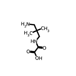 CC(C)(CN)CNC(=O)C(=O)O